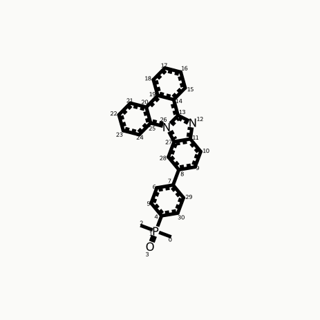 CP(C)(=O)c1ccc(-c2ccc3nc4c5ccccc5c5ccccc5n4c3c2)cc1